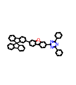 C1=CC2c3ccccc3C3(c4ccccc4-c4ccc(-c5ccc6c(c5)oc5cc(-c7nc(-c8ccccc8)nc(-c8ccccc8)n7)ccc56)cc43)C2C=C1